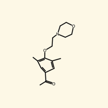 CC(=O)c1cc(C)c(OCCN2CCOCC2)c(C)c1